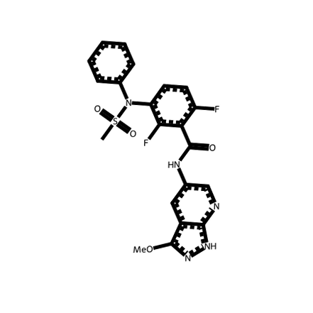 COc1n[nH]c2ncc(NC(=O)c3c(F)ccc(N(c4ccccc4)S(C)(=O)=O)c3F)cc12